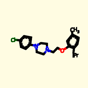 Cc1ccc(C(C)C)c(OCCN2CCN(c3ccc(Cl)cc3)CC2)c1